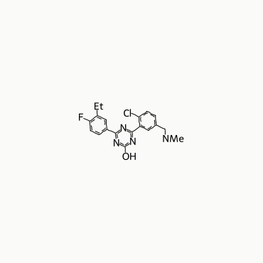 CCc1cc(-c2nc(O)nc(-c3cc(CNC)ccc3Cl)n2)ccc1F